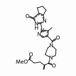 C=C(CCC(=O)OC)C(=O)N1CCN(C(=O)c2cnn(-c3nc4c(c(=O)[nH]3)CCC4)c2C)CC1